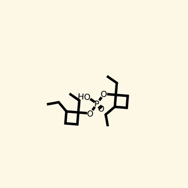 CCC1CCC1(CC)OP(=O)(O)OC1(CC)CCC1CC